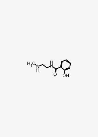 CNCCNC(=O)c1ccccc1O